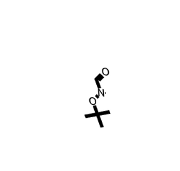 CC(C)(C)O[N]C=O